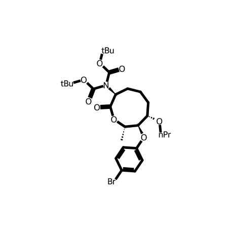 CCCO[C@H]1CCC[C@H](N(C(=O)OC(C)(C)C)C(=O)OC(C)(C)C)C(=O)O[C@@H](C)[C@@H]1Oc1ccc(Br)cc1